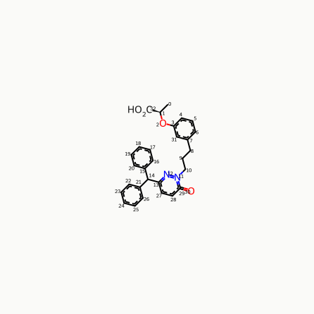 C[C@@H](Oc1cccc(CCCn2nc(C(c3ccccc3)c3ccccc3)ccc2=O)c1)C(=O)O